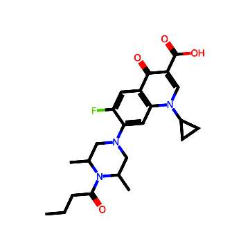 CCCC(=O)N1C(C)CN(c2cc3c(cc2F)c(=O)c(C(=O)O)cn3C2CC2)CC1C